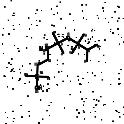 CC(C)[Si](C)(C)OC(C)(C)[SiH2]CC[Si](C)(C)O